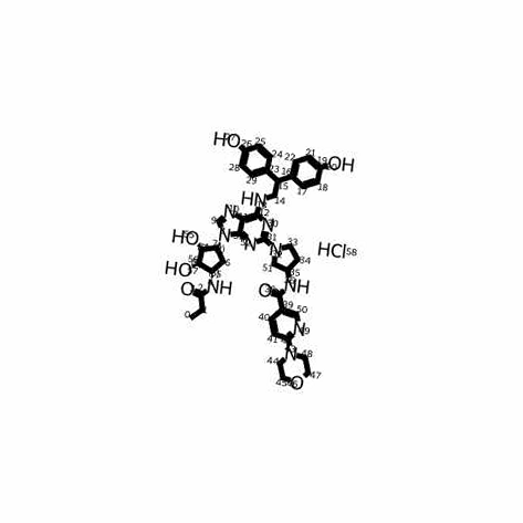 CCC(=O)N[C@H]1C[C@@H](n2cnc3c(NCC(c4ccc(O)cc4)c4ccc(O)cc4)nc(N4CCC(NC(=O)c5ccc(N6CCOCC6)nc5)C4)nc32)[C@H](O)[C@@H]1O.Cl